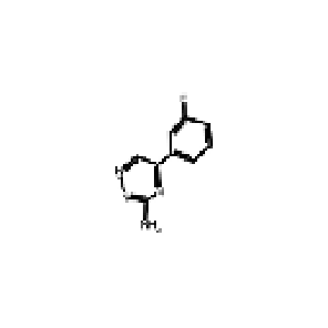 Nc1nncc(-c2cccc(F)c2)n1